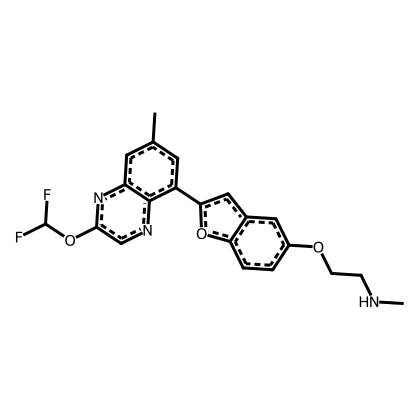 CNCCOc1ccc2oc(-c3cc(C)cc4nc(OC(F)F)cnc34)cc2c1